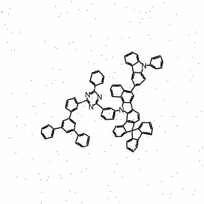 c1ccc(-c2cc(-c3ccccc3)cc(-c3cccc(-c4nc(-c5ccccc5)nc(-c5cccc(-n6c7c8c(ccc7c7cc(-c9ccc%10c(c9)c9ccccc9n%10-c9ccccc9)c9ccccc9c76)C6(c7ccccc7-c7ccccc76)c6ccccc6-8)c5)n4)c3)c2)cc1